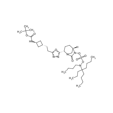 CCCCN(OS(=O)(=O)ON1C(=O)N2C[C@@H]1CC[C@H]2c1nnc(CC[C@H]2C[C@H](NC(=O)OC(C)(C)C)C2)o1)C(CCC)(CCCC)CCCC